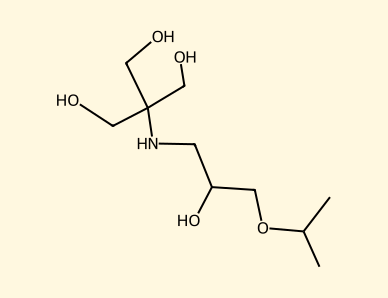 CC(C)OCC(O)CNC(CO)(CO)CO